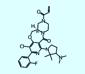 C=CC(=O)N1CCN2C(=O)c3c(N4CCC(N(C)C)C4(C)C)nc(-c4ccccc4F)c(Cl)c3OC[C@H]2C1